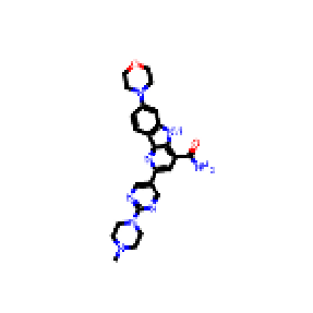 CN1CCN(c2ncc(-c3cc(C(N)=O)c4[nH]c5cc(N6CCOCC6)ccc5c4n3)cn2)CC1